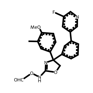 COc1ccc(C2(c3cccc(-c4cncc(F)c4)c3)COC(NOC=O)=N2)cc1C